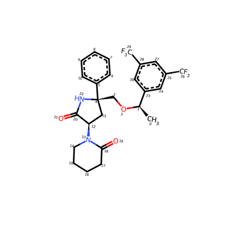 C[C@@H](OC[C@@]1(c2ccccc2)C[C@@H](N2CCCCC2=O)C(=O)N1)c1cc(C(F)(F)F)cc(C(F)(F)F)c1